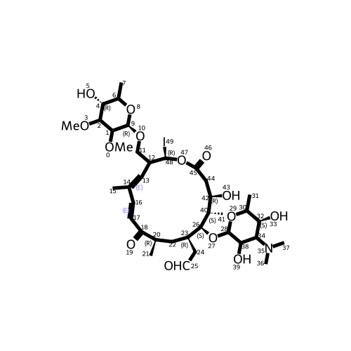 COC1C(OC)[C@H](O)C(C)O[C@H]1OCC1/C=C(C)/C=C/C(=O)[C@H](C)C[C@H](CC=O)[C@H](OC2OC(C)[C@@H](O)C(N(C)C)C2O)[C@@H](C)[C@H](O)CC(=O)O[C@@H]1I